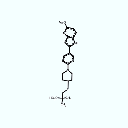 COc1ccc2[nH]c(-c3ccc(N4CCC(OCC(C)(C)C(=O)O)CC4)nc3)nc2n1